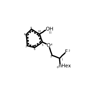 CCCCCCC(F)COc1ccccc1O